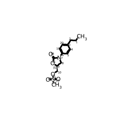 CCCc1ccc(N2C[C@@H](COS(C)(=O)=O)OC2=O)cc1